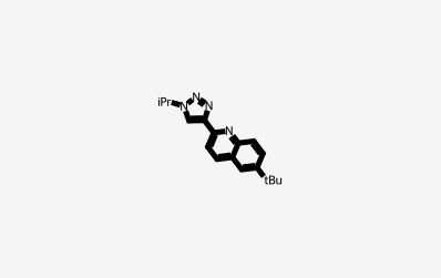 CC(C)n1cc(-c2ccc3cc(C(C)(C)C)ccc3n2)nn1